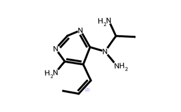 C/C=C\c1c(N)ncnc1N(N)C(C)N